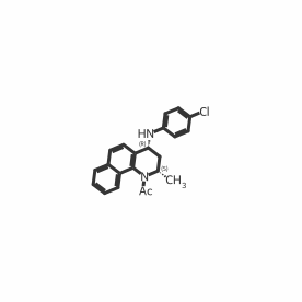 CC(=O)N1c2c(ccc3ccccc23)[C@H](Nc2ccc(Cl)cc2)C[C@@H]1C